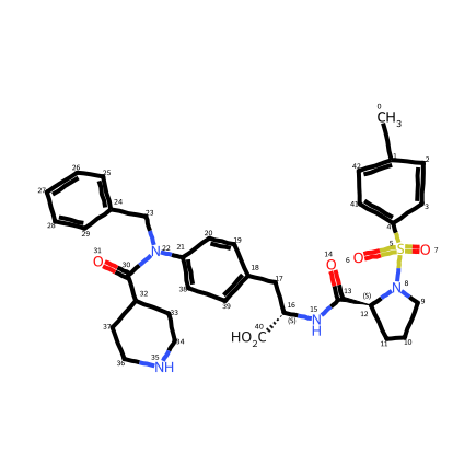 Cc1ccc(S(=O)(=O)N2CCC[C@H]2C(=O)N[C@@H](Cc2ccc(N(Cc3ccccc3)C(=O)C3CCNCC3)cc2)C(=O)O)cc1